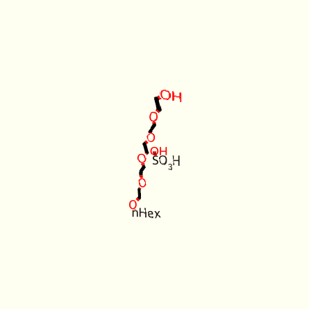 CCCCCCOCCOCCOCCOCCOCCO.O=S(=O)(O)O